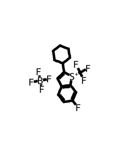 F[B-](F)(F)F.Fc1ccc2cc(C3CCCCC3)[s+](C(F)(F)F)c2c1